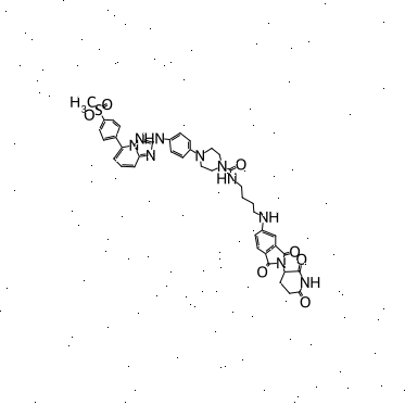 CS(=O)(=O)c1ccc(-c2cccc3nc(Nc4ccc(N5CCN(C(=O)NCCCCNc6ccc7c(c6)C(=O)N(C6CCC(=O)NC6=O)C7=O)CC5)cc4)nn23)cc1